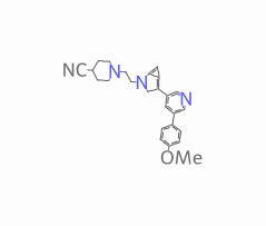 COc1ccc(-c2cncc(C3=C4C=C4N(CCN4CCC(C#N)CC4)C3)c2)cc1